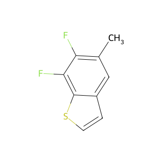 Cc1cc2ccsc2c(F)c1F